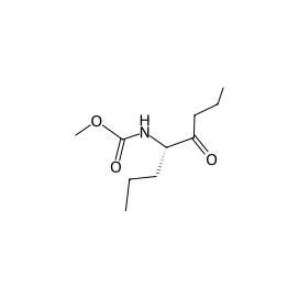 CCCC(=O)[C@H](CCC)NC(=O)OC